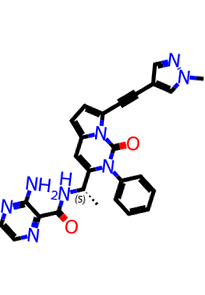 C[C@H](NC(=O)c1nccnc1N)c1cc2ccc(C#Cc3cnn(C)c3)n2c(=O)n1-c1ccccc1